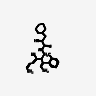 C/C=C\C=C(/S)C(CNC(=S)C(=N)CC1CCCCC1)/C(=C/N)c1ccccc1C